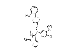 CN1C(=O)c2ccccc2C1C(CCN1CCC(c2ccccc2O)CC1)c1ccc(Cl)c(Cl)c1.Cl